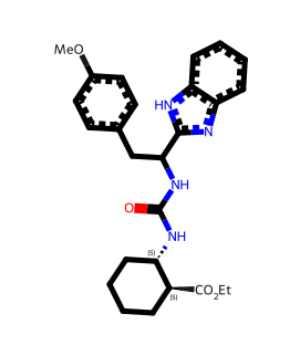 CCOC(=O)[C@H]1CCCC[C@@H]1NC(=O)NC(Cc1ccc(OC)cc1)c1nc2ccccc2[nH]1